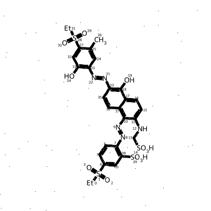 CCS(=O)(=O)c1ccc(/N=N/c2c(NCS(=O)(=O)O)ccc3c(O)c(/N=N/c4cc(C)c(S(=O)(=O)CC)cc4O)ccc23)c(S(=O)(=O)O)c1